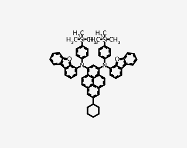 C[Si](C)(C)c1ccc(N(c2cc(N(c3ccc([Si](C)(C)C)cc3)c3cccc4c3oc3ccccc34)c3ccc4cc(C5CCCCC5)cc5ccc2c3c54)c2cccc3c2oc2ccccc23)cc1